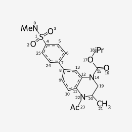 CNS(=O)(=O)c1ccc(-c2ccc3c(c2)N(C(=O)OC(C)C)CC(C)N3C(C)=O)cc1